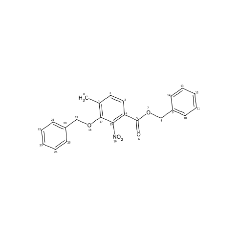 Cc1ccc(C(=O)OCc2ccccc2)c([N+](=O)[O-])c1OCc1ccccc1